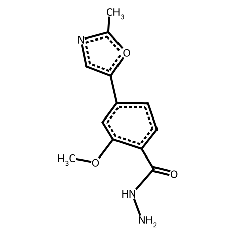 COc1cc(-c2cnc(C)o2)ccc1C(=O)NN